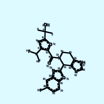 CC(C)(O)c1nc(C(F)F)c(C(=O)N2CCc3[nH]cnc3C2c2nc3cc(F)ccc3o2)o1